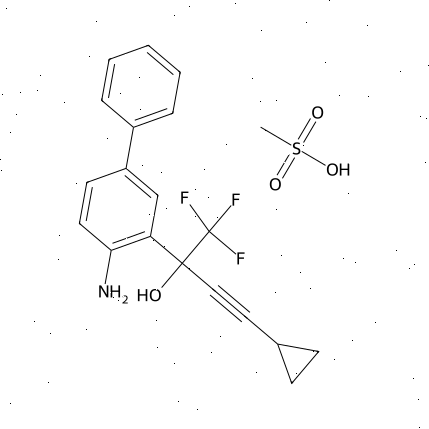 CS(=O)(=O)O.Nc1ccc(-c2ccccc2)cc1C(O)(C#CC1CC1)C(F)(F)F